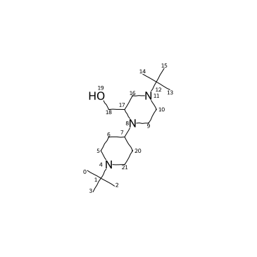 CC(C)(C)N1CCC(N2CCN(C(C)(C)C)CC2CO)CC1